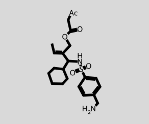 CC=C(COC(=O)CC(C)=O)C(NS(=O)(=O)c1ccc(CN)cc1)C1CCCCC1